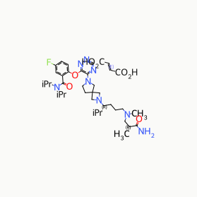 CC(C)[C@@H](CCCN(C)C[C@@H](C)C(N)=O)N1CC2(CCN(c3ncnnc3Oc3ccc(F)cc3C(=O)N(C(C)C)C(C)C)C2)C1.O=C(O)/C=C/C(=O)O